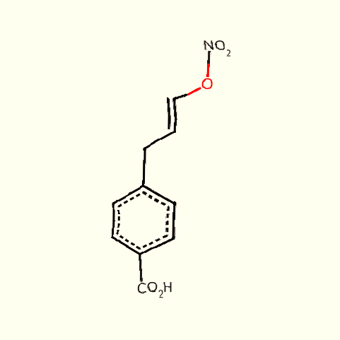 O=C(O)c1ccc(CC=CO[N+](=O)[O-])cc1